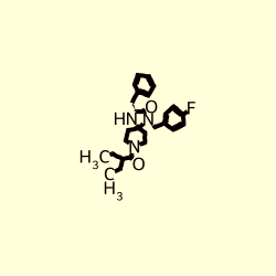 CCC(CC)C(=O)N1CCC2(CC1)N[C@H](Cc1ccccc1)C(=O)N2Cc1ccc(F)cc1